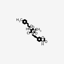 Cc1ccc(CCC(=O)Nc2c(Cl)n(CC#Cc3ccc4c(c3)OCC(=O)N4)c(=O)n(C)c2=O)cc1